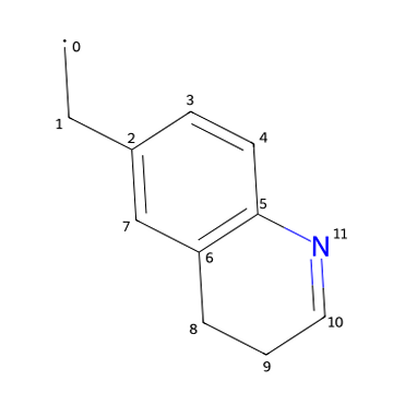 [CH2]Cc1ccc2c(c1)CCC=N2